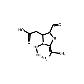 CC(C)=C1NC(C=O)C(CC(=O)O)N1NN